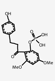 COc1cc(OC)c(C(=O)CCc2ccc(O)cc2)c(OP(=O)(O)O)c1